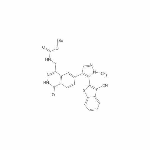 CC(C)(C)OC(=O)NCc1n[nH]c(=O)c2ccc(-c3cnn(C(F)(F)F)c3-c3sc4ccccc4c3C#N)cc12